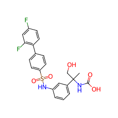 CC(CO)(NC(=O)O)c1cccc(NS(=O)(=O)c2ccc(-c3ccc(F)cc3F)cc2)c1